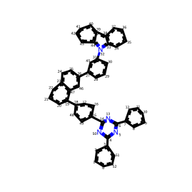 c1ccc(-c2nc(-c3ccccc3)nc(-c3ccc(-c4cccc5ccc(-c6cccc(-n7c8ccccc8c8ccccc87)c6)cc45)cc3)n2)cc1